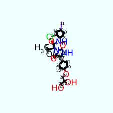 CO[C@H](C)C(C(=O)Nc1ccc(I)cc1Cl)N1C(=O)N[C@H](c2ccc(OC[C@H](O)CO)cc2)C1=O